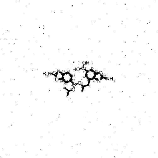 CC(C)OB(OC(C)Cc1cc(B(O)O)cc2oc(N)nc12)c1ccc2nc(N)oc2c1